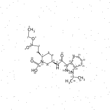 CCOC(=O)CC[C@H]1CC[C@@H](NC(=O)c2nn(C(C)C)c3ccccc23)CN1C(=O)O